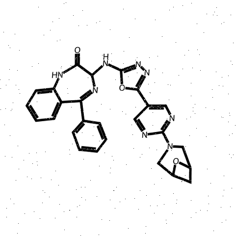 O=C1Nc2ccccc2C(c2ccccc2)=NC1Nc1nnc(-c2cnc(N3CC4CC(C3)O4)nc2)o1